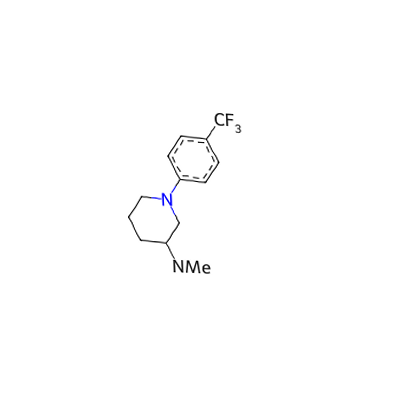 CNC1CCCN(c2ccc(C(F)(F)F)cc2)C1